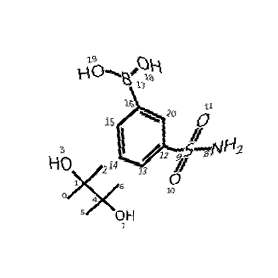 CC(C)(O)C(C)(C)O.NS(=O)(=O)c1cccc(B(O)O)c1